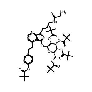 CC(C)(C)C(=O)OC[C@H]1O[C@@H](Oc2nn(CCCNC(=O)CN)c3nccc(CCc4ccc(OC(=O)C(C)(C)C)cc4)c23)[C@H](OC(=O)C(C)(C)C)[C@@H](OC(=O)C(C)(C)C)[C@@H]1OC(=O)C(C)(C)C